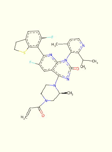 C=CC(=O)N1CCN(c2nc(=O)n(-c3c(C)ccnc3C(C)C)c3nc(-c4c(F)ccc5c4SCC5)c(F)cc23)[C@@H](C)C1